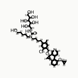 Cc1cc(COC2(c3cnccc3-c3ccccc3OC3CC3)CC2)c(Cl)cc1CCCCN(CCCCCO)C(=O)NC[C@H](O)[C@@H](O)[C@H](O)[C@H](O)CO